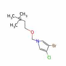 C[Si](C)(C)CCOCn1cc(Cl)c(Br)c1